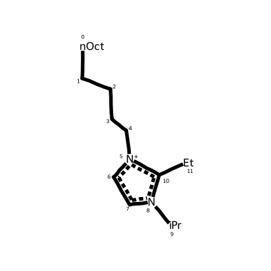 CCCCCCCCCCCC[n+]1ccn(C(C)C)c1CC